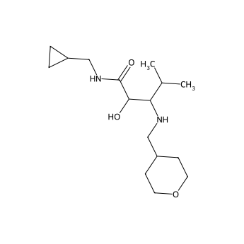 CC(C)C(NCC1CCOCC1)C(O)C(=O)NCC1CC1